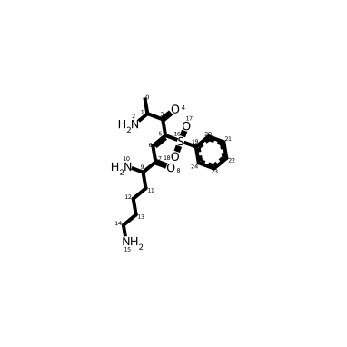 CC(N)C(=O)/C(=C/C(=O)C(N)CCCCN)S(=O)(=O)c1ccccc1